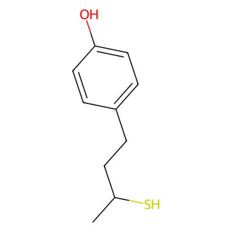 CC(S)CCc1ccc(O)cc1